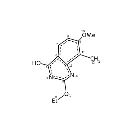 CCOc1nc(O)c2ccc(OC)c(C)c2n1